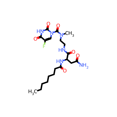 CCCCCCCC(=O)NC(CC(N)=O)C(=O)NCCN(C)C(=O)n1cc(F)c(=O)[nH]c1=O